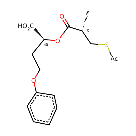 CC(=O)SC[C@@H](C)C(=O)O[C@@H](CCOc1ccccc1)C(=O)O